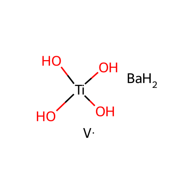 [BaH2].[OH][Ti]([OH])([OH])[OH].[V]